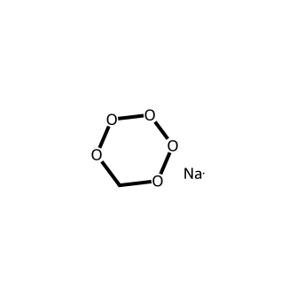 C1OOOOO1.[Na]